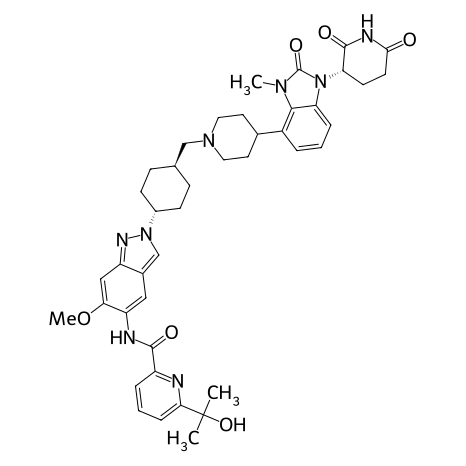 COc1cc2nn([C@H]3CC[C@H](CN4CCC(c5cccc6c5n(C)c(=O)n6[C@H]5CCC(=O)NC5=O)CC4)CC3)cc2cc1NC(=O)c1cccc(C(C)(C)O)n1